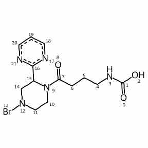 O=C(O)NCCCC(=O)N1CCN(Br)CC1c1ncccn1